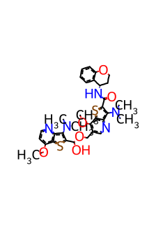 COc1ccnc2c(N(C)C)c(C(O)OCc3cnc4c(N(C)C)c(C(=O)N[C@H]5CCOc6ccccc65)sc4c3OC)sc12